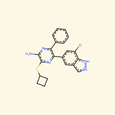 Nc1nc(-c2ccccc2)c(-c2cc(Cl)c3[nH]ncc3c2)nc1SC1CCC1